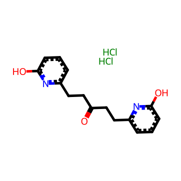 Cl.Cl.O=C(CCc1cccc(O)n1)CCc1cccc(O)n1